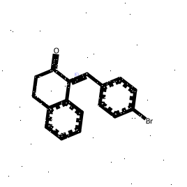 O=C1CCc2ccccc2/C1=C\c1ccc(Br)cc1